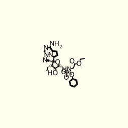 CCOC(=O)CNP(=O)(OC[C@H]1O[C@@](C#N)(c2ccc3c(N)ncnn23)[C@@H](CC)[C@@H]1O)Oc1ccccc1